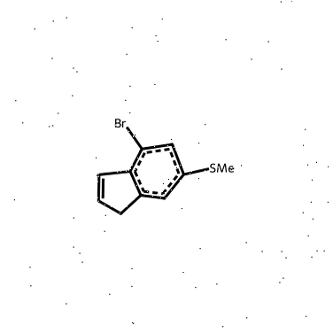 CSc1cc(Br)c2c(c1)CC=C2